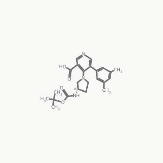 Cc1cc(C)cc(-c2cncc(C(=O)O)c2N2CC[C@H](NC(=O)OC(C)(C)C)C2)c1